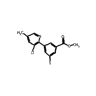 COC(=O)c1cc(I)cc(-c2ncc(C)cc2Cl)c1